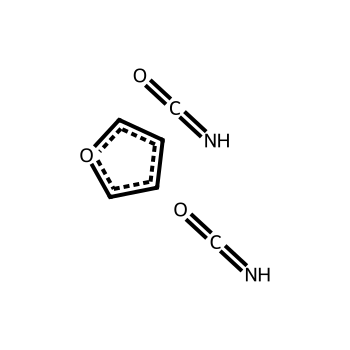 N=C=O.N=C=O.c1ccoc1